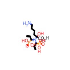 C=CC(N(C(C=C)P(=O)(O)O)C(O)(CCCCN)C(=O)O)P(=O)(O)O